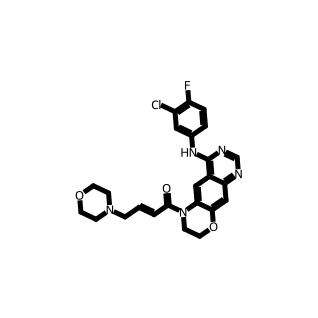 O=C(/C=C/CN1CCOCC1)N1CCOc2cc3ncnc(Nc4ccc(F)c(Cl)c4)c3cc21